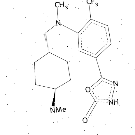 CN[C@H]1CC[C@H](CN(C)c2cc(-c3n[nH]c(=O)o3)ccc2C(F)(F)F)CC1